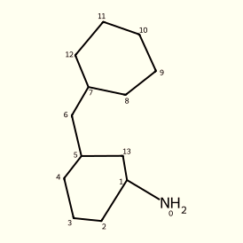 NC1CCCC(CC2CCCCC2)C1